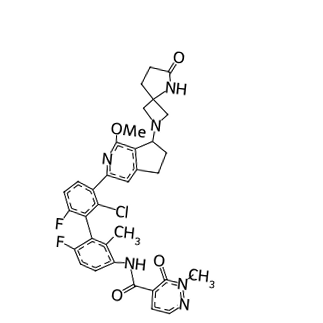 COc1nc(-c2ccc(F)c(-c3c(F)ccc(NC(=O)c4ccnn(C)c4=O)c3C)c2Cl)cc2c1C(N1CC3(CCC(=O)N3)C1)CC2